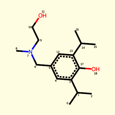 CC(C)c1cc(CN(C)CCO)cc(C(C)C)c1O